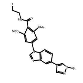 CCn1cc(-c2ccc3c(c2)ncn3-c2cc(OC)c(C(=O)NCCF)c(OC)c2)cn1